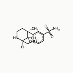 CC1(C)[C@H]2Cc3ccc(S(N)(=O)=O)cc3[C@]1(C)CCN2